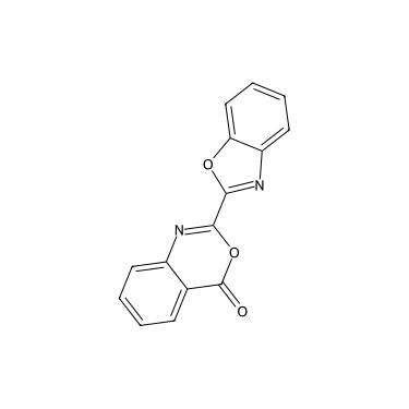 O=c1oc(-c2nc3ccccc3o2)nc2ccccc12